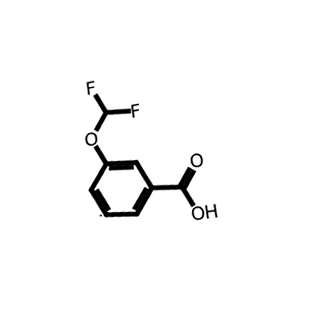 O=C(O)c1c[c]cc(OC(F)F)c1